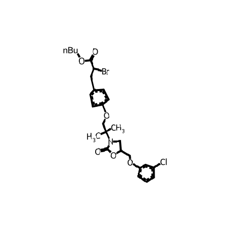 CCCCOC(=O)C(Br)Cc1ccc(OCC(C)(C)N2CC(COc3cccc(Cl)c3)OC2=O)cc1